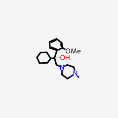 COc1ccccc1[C@@](O)(CN1CCN(C)CC1)C1CCCCC1